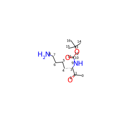 CC(=O)[C@H](CCCCN)NC(=O)OC(C)(C)C